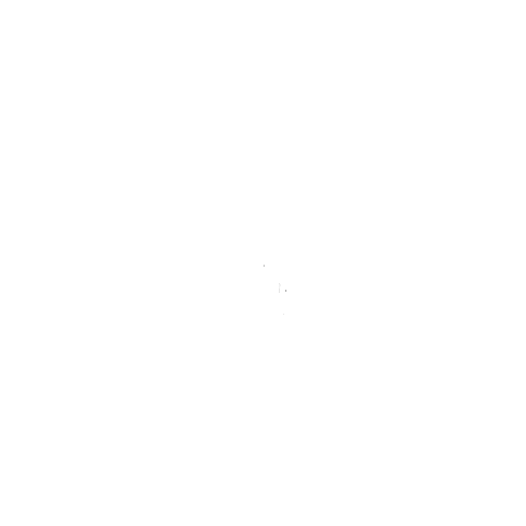 CN(C)C1(C)c2ccccc2CCc2ccccc21